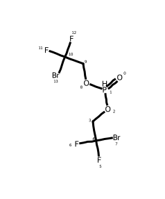 O=[PH](OCC(F)(F)Br)OCC(F)(F)Br